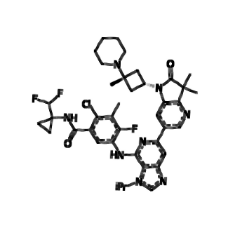 Cc1c(F)c(Nc2nc(-c3cnc4c(c3)N([C@H]3C[C@@](C)(N5CCCCC5)C3)C(=O)C4(C)C)cc3ncn(C(C)C)c23)cc(C(=O)NC2(C(F)F)CC2)c1Cl